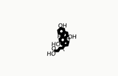 C[C@H](CCC(=O)O)C1CC[C@H]2C3[C@H](O)CC4C[C@H](O)CCC4(C)[C@H]3CC(O)C12C